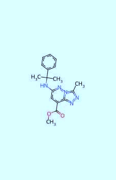 COC(=O)c1cc(NC(C)(C)c2ccccc2)nn2c(C)nnc12